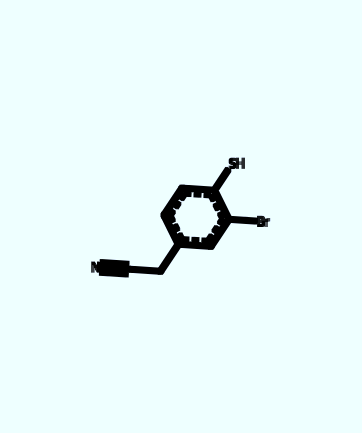 N#CCc1ccc(S)c(Br)c1